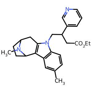 CCOC(=O)CC(Cn1c2c(c3cc(C)ccc31)C1CCC(C2)N1C)c1cccnc1